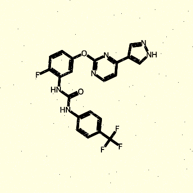 O=C(Nc1ccc(C(F)(F)F)cc1)Nc1cc(Oc2nccc(-c3cn[nH]c3)n2)ccc1F